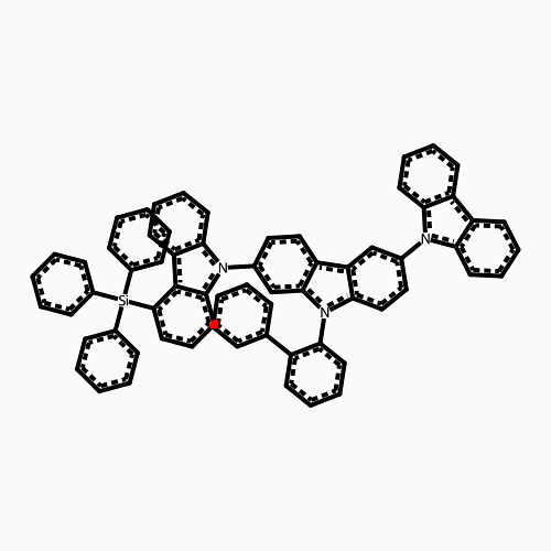 c1ccc(-c2ccccc2-n2c3ccc(-n4c5ccccc5c5ccccc54)cc3c3ccc(-n4c5ccccc5c5c([Si](c6ccccc6)(c6ccccc6)c6ccccc6)cccc54)cc32)cc1